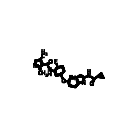 Cc1cnn(C)c1C(=O)Nc1cc(Oc2ccc3nc(NC(=O)C4CC4)cn3n2)ccc1F